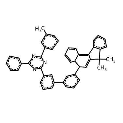 Cc1cccc(-c2nc(-c3ccccc3)nc(-c3cccc(-c4cccc(C5C=C6C(=C7C=CC=CC75)c5ccccc5C6(C)C)c4)c3)n2)c1